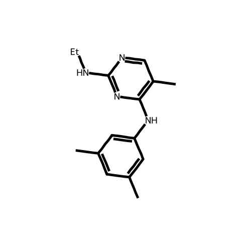 CCNc1ncc(C)c(Nc2cc(C)cc(C)c2)n1